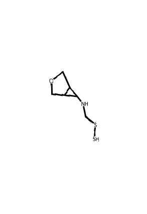 SSCNC1C2COCC21